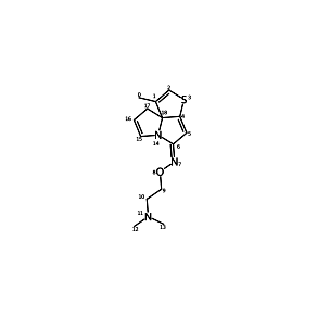 CC1=CSC2=C/C(=N/OCCN(C)C)N3C=CCC123